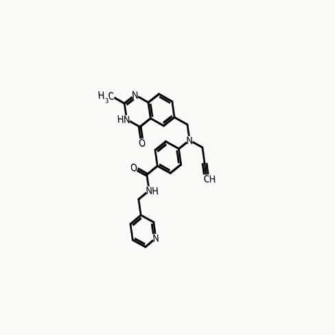 C#CCN(Cc1ccc2nc(C)[nH]c(=O)c2c1)c1ccc(C(=O)NCc2cccnc2)cc1